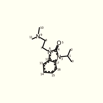 CC(C)n1c(=O)n(CCN(C)C)c2ccccc21